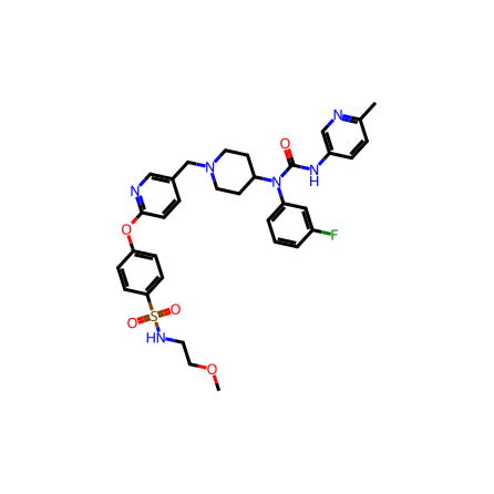 COCCNS(=O)(=O)c1ccc(Oc2ccc(CN3CCC(N(C(=O)Nc4ccc(C)nc4)c4cccc(F)c4)CC3)cn2)cc1